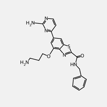 NCCCOc1cc(-c2ccnc(N)n2)cc2sc(C(=O)NCc3ccccc3)nc12